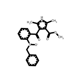 COC(=O)c1c(C)[nH]c(C)c1C(=O)c1ccccc1[S+]([O-])Cc1ccccc1